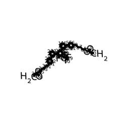 C=CC(=O)OCCCCCc1ccc(-c2cccc(-c3cc(-c4cccc(-c5ccc(CCCCCOC(=O)C=C)cc5)c4)c(F)c(OC(F)(F)F)c3F)c2)cc1